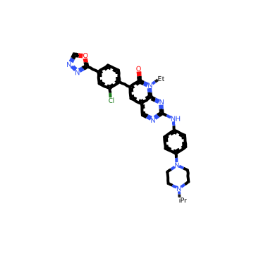 CCn1c(=O)c(-c2ccc(-c3nnco3)cc2Cl)cc2cnc(Nc3ccc(N4CCN(C(C)C)CC4)cc3)nc21